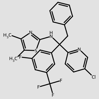 Cc1nc(NC(Cc2ccccc2)(c2cc(F)cc(C(F)(F)F)c2)c2ccc(Cl)cn2)sc1C